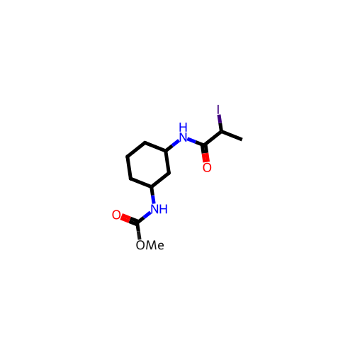 COC(=O)NC1CCCC(NC(=O)C(C)I)C1